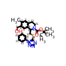 Cc1cc2c(cc1CO)C(CSc1nnnn1-c1ccccc1)N(C(=O)OC(C)(C)C)CC2